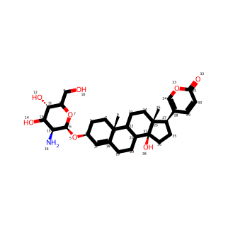 C[C@]12CC[C@H](O[C@@H]3OC(CO)[C@@H](O)C(O)[C@@H]3N)C=C1CCC1C2CC[C@]2(C)[C@@H](c3ccc(=O)oc3)CC[C@]12O